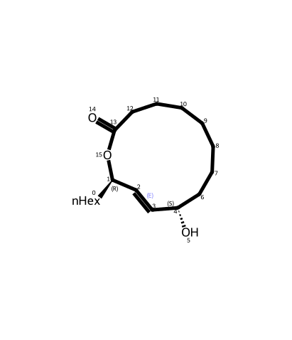 CCCCCC[C@@H]1/C=C/[C@@H](O)CCCCCCCC(=O)O1